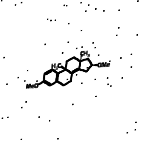 COc1ccc2c(c1)CCC1=C3C[C@H](OC)C[C@]3(C)CC[C@]12C